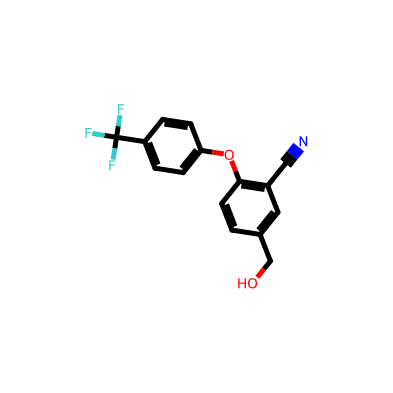 N#Cc1cc(CO)ccc1Oc1ccc(C(F)(F)F)cc1